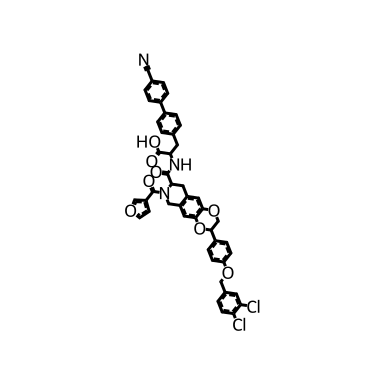 N#Cc1ccc(-c2ccc(CC(NC(=O)C3Cc4cc5c(cc4CN3C(=O)c3ccoc3)OC(c3ccc(OCc4ccc(Cl)c(Cl)c4)cc3)CO5)C(=O)O)cc2)cc1